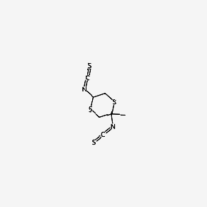 CC1(N=C=S)CSC(N=C=S)CS1